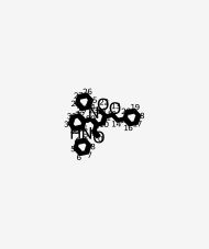 O=C(Nc1ccccc1)c1cc(C(=O)Cc2ccccc2)c(=O)n(-c2ccccc2)c1-c1ccccc1